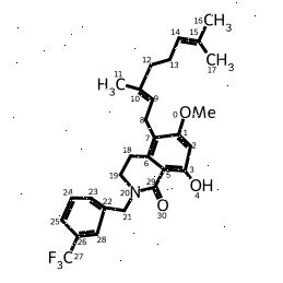 COc1cc(O)c2c(c1C/C=C(\C)CCC=C(C)C)CCN(Cc1cccc(C(F)(F)F)c1)C2=O